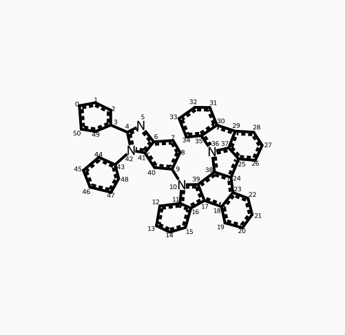 c1ccc(-c2nc3ccc(-n4c5ccccc5c5c6ccccc6c6c7cccc8c9ccccc9n(c87)c6c54)cc3n2-c2ccccc2)cc1